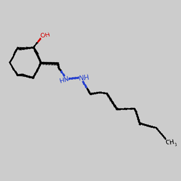 CCCCCCCNNCC1CCCCC1O